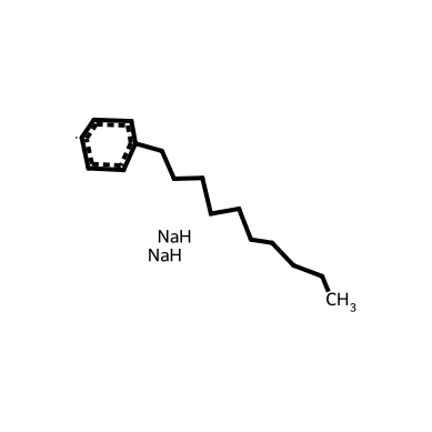 CCCCCCCCCCc1cc[c]cc1.[NaH].[NaH]